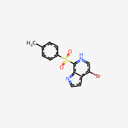 Cc1ccc(S(=O)(=O)c2[nH]cc(Br)c3ccnc2-3)cc1